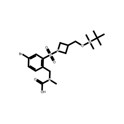 CN(Cc1ccc(Br)cc1S(=O)(=O)N1CC(CO[Si](C)(C)C(C)(C)C)C1)C(=O)O